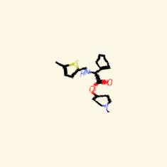 Cc1ccc(CNC(C(=O)OC2CCN(C)CC2)c2ccccc2)s1